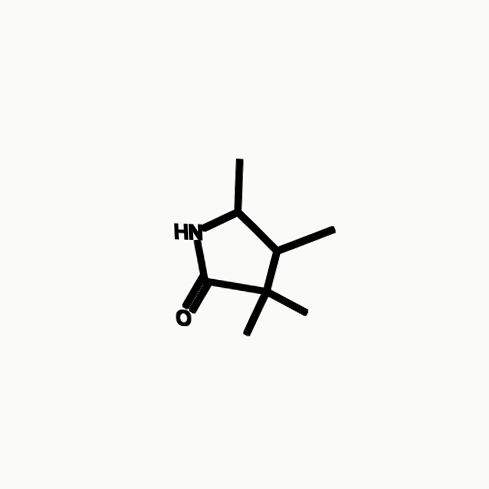 CC1NC(=O)C(C)(C)C1C